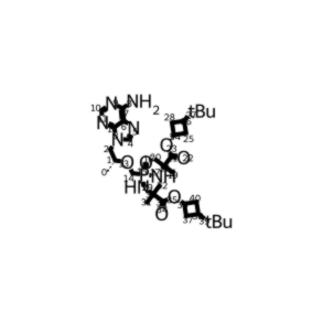 C[C@H](Cn1cnc2c(N)ncnc21)OCP(=O)(NC(C)(C)C(=O)OC1CC(C(C)(C)C)C1)NC(C)(C)C(=O)OC1CC(C(C)(C)C)C1